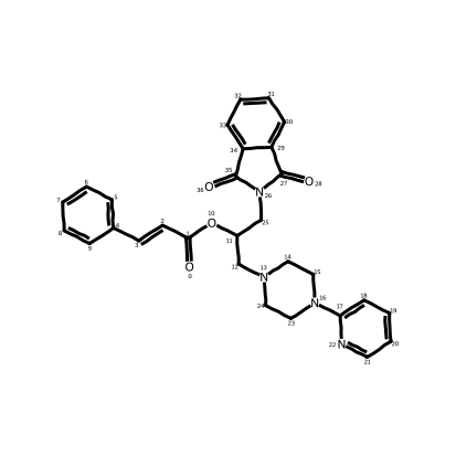 O=C(C=Cc1ccccc1)OC(CN1CCN(c2ccccn2)CC1)CN1C(=O)c2ccccc2C1=O